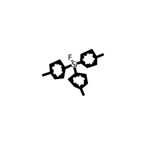 Cc1ccc([Si](F)(c2ccc(C)cc2)c2ccc(C)cc2)cc1